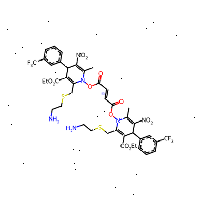 CCOC(=O)C1=C(CSCCN)N(OC(=O)/C=C/C(=O)ON2C(C)=C([N+](=O)[O-])C(c3cccc(C(F)(F)F)c3)C(C(=O)OCC)=C2CSCCN)C(C)=C([N+](=O)[O-])C1c1cccc(C(F)(F)F)c1